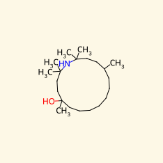 CC1CCCCCCCC(C)(O)CCC(C)(C)NC(C)(C)CC1